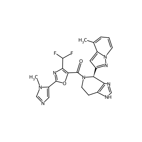 Cc1cccn2nc([C@H]3c4nc[nH]c4CCN3C(=O)c3oc(-c4cncn4C)nc3C(F)F)cc12